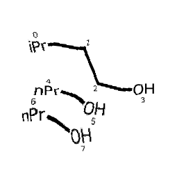 CC(C)CCO.CCCO.CCCO